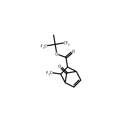 CC(OC(=O)C1C2C=CC(C2=O)C1C(F)(F)F)(C(F)(F)F)C(F)(F)F